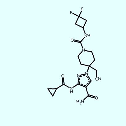 N#CCC1(n2cc(C(N)=O)c(NC(=O)C3CC3)n2)CCN(C(=O)NC2CC(F)(F)C2)CC1